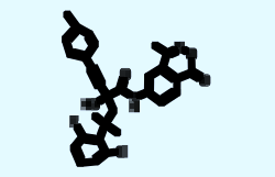 Cc1ccc(C#CC(O)(CC(C)(C)c2c(F)cccc2Cl)C(=O)Nc2ccc3c(=O)onc(C)c3c2)cc1